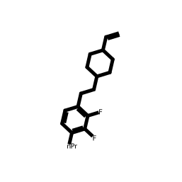 C=CC1CCC(CCc2ccc(CCC)c(F)c2F)CC1